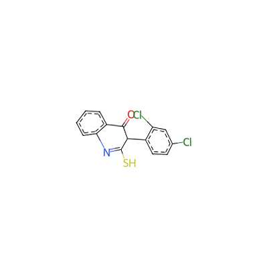 O=C1c2ccccc2N=C(S)C1c1ccc(Cl)cc1Cl